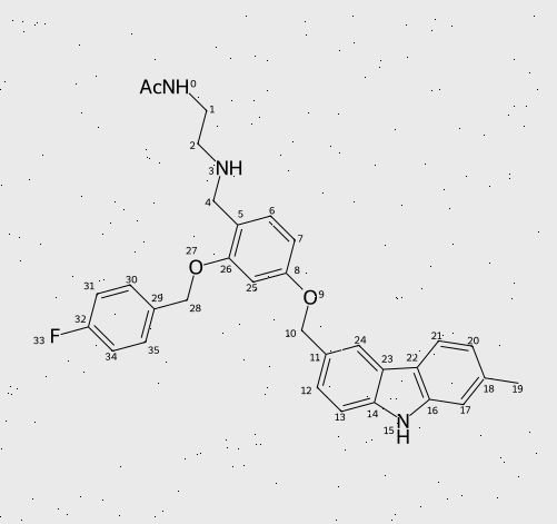 CC(=O)NCCNCc1ccc(OCc2ccc3[nH]c4cc(C)ccc4c3c2)cc1OCc1ccc(F)cc1